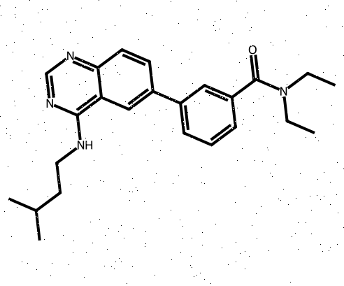 CCN(CC)C(=O)c1cccc(-c2ccc3ncnc(NCCC(C)C)c3c2)c1